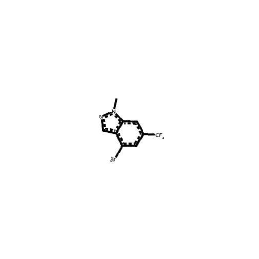 Cn1ncc2c(Br)cc(C(F)(F)F)cc21